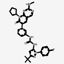 CNc1ncc2cc(-c3cccc(NC(=O)Nc4cc(C(C)(C)C)nn4-c4ccc(F)cc4)c3)c(=O)n(C3CCCC3)c2n1